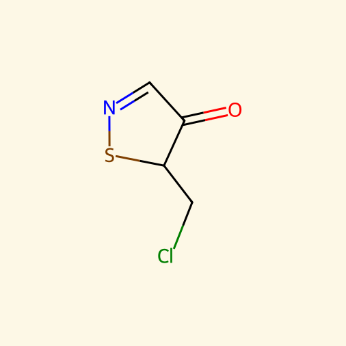 O=C1C=NSC1CCl